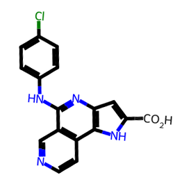 O=C(O)c1cc2nc(Nc3ccc(Cl)cc3)c3cnccc3c2[nH]1